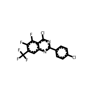 Fc1c(C(F)(F)F)cc2nc(-c3ccc(Cl)cc3)nc(Cl)c2c1F